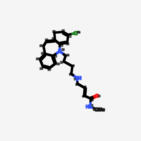 CONC(=O)/C=C/CNCCCCN1C2=CC(Cl)=CCC2=CCc2ccccc21